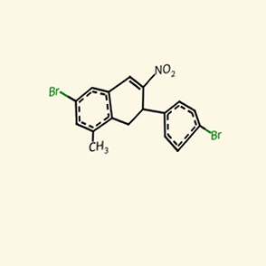 Cc1cc(Br)cc2c1CC(c1ccc(Br)cc1)C([N+](=O)[O-])=C2